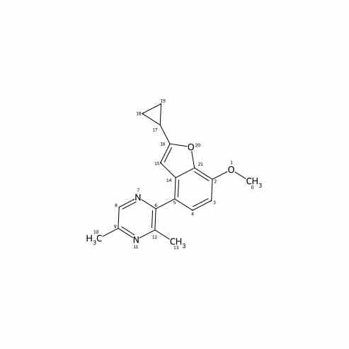 COc1ccc(-c2ncc(C)nc2C)c2cc(C3CC3)oc12